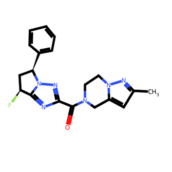 Cc1cc2n(n1)CCN(C(=O)c1nc3n(n1)[C@H](c1ccccc1)C[C@@H]3F)C2